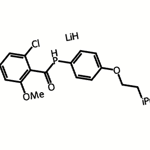 COc1cccc(Cl)c1C(=O)Pc1ccc(OCCC(C)C)cc1.[LiH]